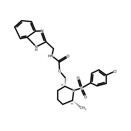 C[C@@H]1CCC[C@H](COC(=O)NCc2nc3ccccc3[nH]2)N1S(=O)(=O)c1ccc(Cl)cc1